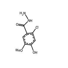 COc1cc(C(=O)NN)c(Cl)cc1O